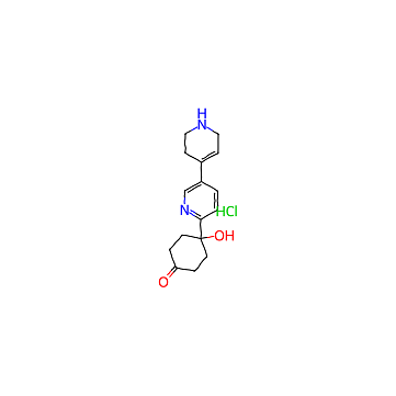 Cl.O=C1CCC(O)(c2ccc(C3=CCNCC3)cn2)CC1